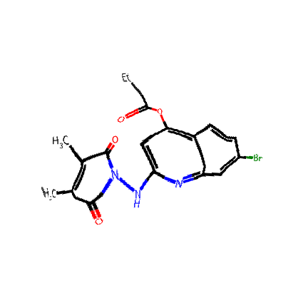 CCC(=O)Oc1cc(NN2C(=O)C(C)=C(C)C2=O)nc2cc(Br)ccc12